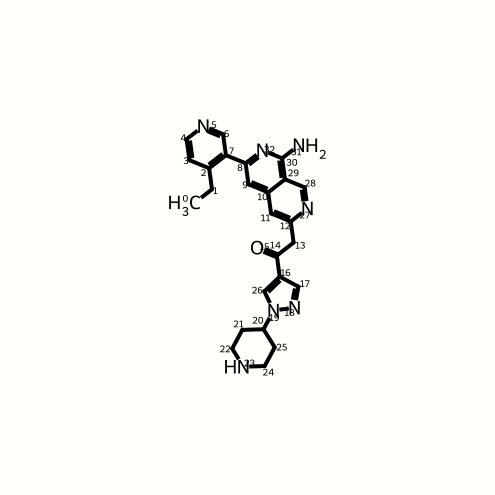 CCc1ccncc1-c1cc2cc(CC(=O)c3cnn(C4CCNCC4)c3)ncc2c(N)n1